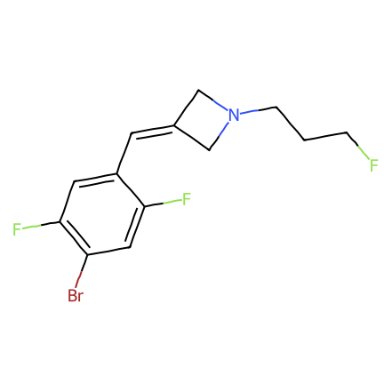 FCCCN1CC(=Cc2cc(F)c(Br)cc2F)C1